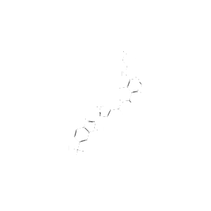 CC(NC(=O)c1ncnc(NCCN)c1Cl)c1cc(-c2nc3ccc(C(F)(F)F)cc3[nH]2)no1